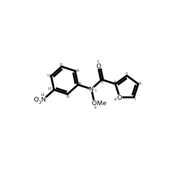 CON(C(=O)c1ccco1)c1cccc([N+](=O)[O-])c1